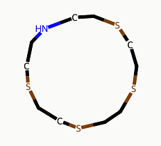 C1CSCCSCCSCCSCCN1